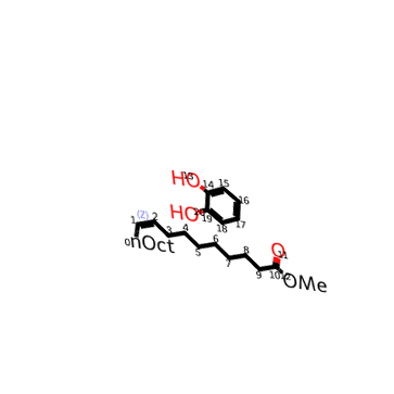 CCCCCCCC/C=C\CCCCCCCC(=O)OC.Oc1ccccc1O